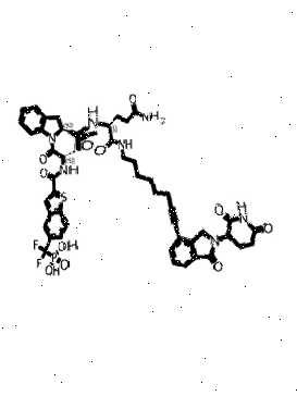 CC(C)C[C@H](NC(=O)c1cc2cc(C(F)(F)P(=O)(O)O)ccc2s1)C(=O)N1c2ccccc2C[C@H]1C(=O)N[C@@H](CCC(N)=O)C(=O)NCCCCCCC#Cc1cccc2c1CN(C1CCC(=O)NC1=O)C2=O